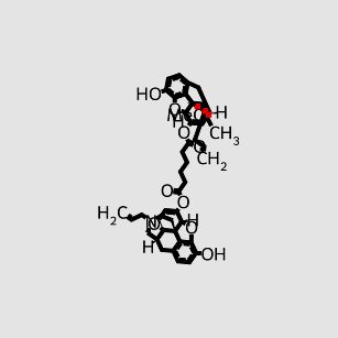 C=CCC1CC[C@]23c4c5ccc(O)c4O[C@H]2C(OC(=O)CCCCC(=O)OC2=CC[C@@]46OC7[C@@H]4Cc4ccc(O)c8c4[C@@]6(CCN7CC=C)[C@H]2O8)=CC[C@@]3(OC)[C@@H](C5)C1C